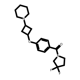 O=C(c1ccc(OC2CC(N3CCCCC3)C2)cc1)N1CCC(F)(F)C1